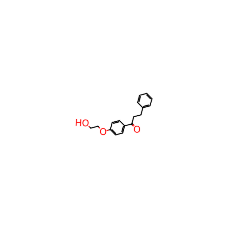 O=C(CCc1ccccc1)c1ccc(OCCO)cc1